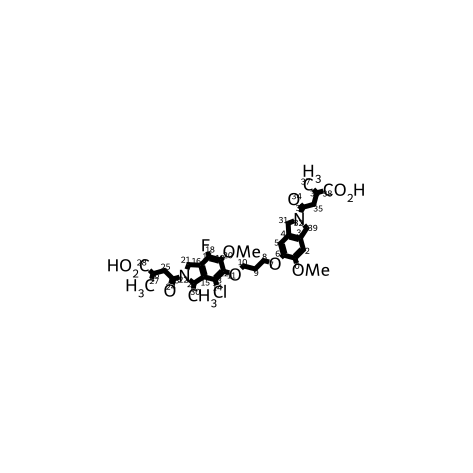 COc1cc2c(cc1OCCCOc1c(Cl)c3c(c(F)c1OC)CN(C(=O)CC(C)C(=O)O)C3C)CN(C(=O)CC(C)C(=O)O)C2